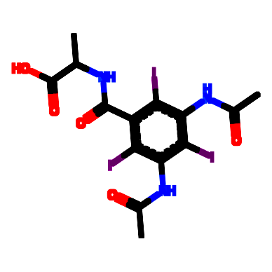 CC(=O)Nc1c(I)c(NC(C)=O)c(I)c(C(=O)NC(C)C(=O)O)c1I